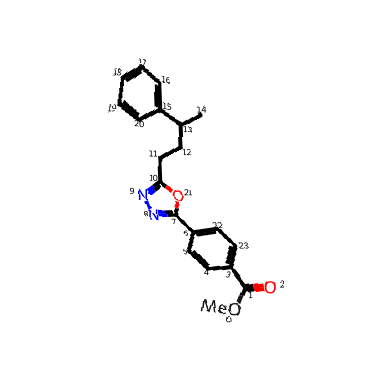 COC(=O)c1ccc(-c2nnc(CCC(C)c3ccccc3)o2)cc1